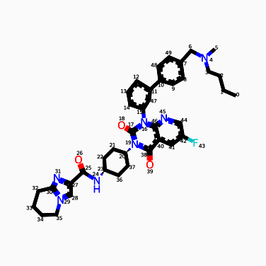 CCCCN(C)Cc1ccc(-c2cccc(-n3c(=O)n([C@H]4CC[C@@H](NC(=O)c5cn6c(n5)CCCC6)CC4)c(=O)c4cc(F)cnc43)c2)cc1